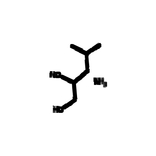 CC(C)CC(O)CO.N